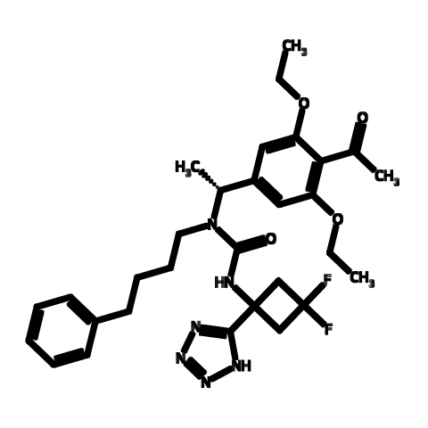 CCOc1cc([C@@H](C)N(CCCCc2ccccc2)C(=O)NC2(c3nnn[nH]3)CC(F)(F)C2)cc(OCC)c1C(C)=O